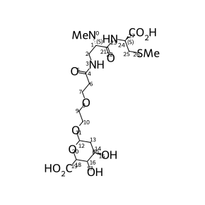 CN[C@@H](CNC(=O)CCOCCOC1C[C@@H](O)C(O)C(C(=O)O)O1)C(=O)N[C@H](CSC)C(=O)O